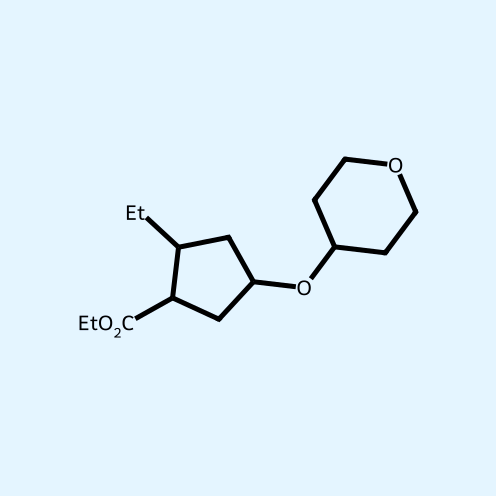 CCOC(=O)C1CC(OC2CCOCC2)CC1CC